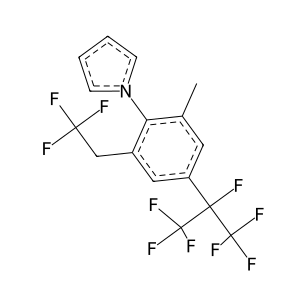 Cc1cc(C(F)(C(F)(F)F)C(F)(F)F)cc(CC(F)(F)F)c1-n1cccc1